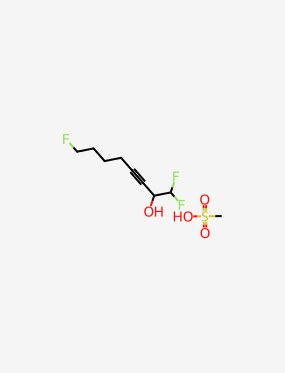 CS(=O)(=O)O.OC(C#CCCCCF)C(F)F